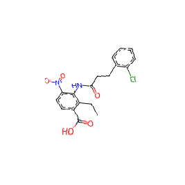 CCc1c(C(=O)O)ccc([N+](=O)[O-])c1NC(=O)CCc1ccccc1Cl